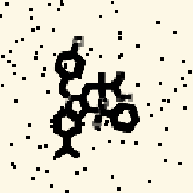 CC(C)c1ccc2c(c1)c(S(=O)(=O)c1ccccc1)c(CC(C)(C)C(=O)O)n2Cc1ccc(Cl)cc1